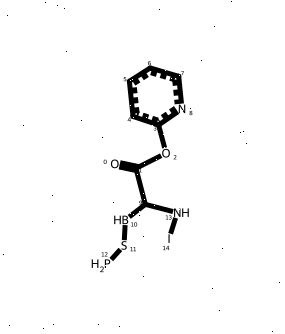 O=C(Oc1ccccn1)C(BSP)NI